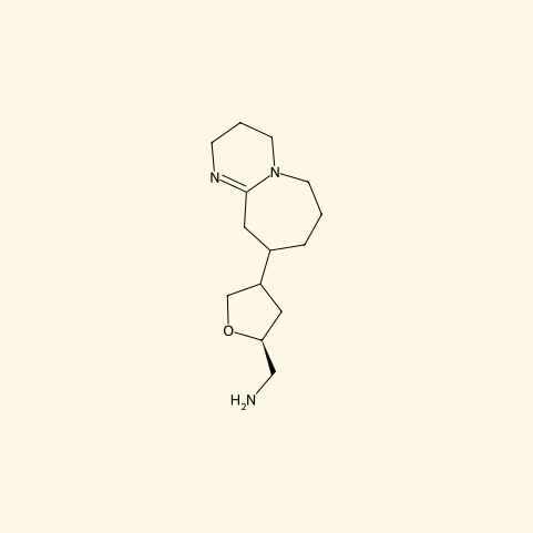 NC[C@@H]1CC(C2CCCN3CCCN=C3C2)CO1